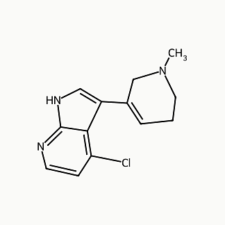 CN1CCC=C(c2c[nH]c3nccc(Cl)c23)C1